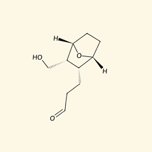 O=CCC[C@@H]1[C@H](CO)[C@@H]2CC[C@H]1O2